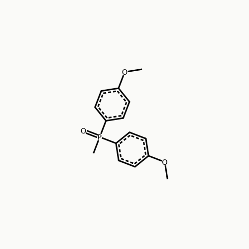 COc1ccc(P(C)(=O)c2ccc(OC)cc2)cc1